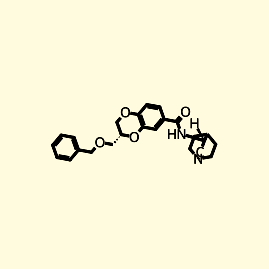 O=C(N[C@H]1CN2CCC1CC2)c1ccc2c(c1)O[C@H](COCc1ccccc1)CO2